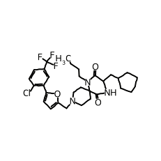 CCCCN1C(=O)C(CC2CCCCC2)NC(=O)C12CCN(Cc1ccc(-c3cc(C(F)(F)F)ccc3Cl)o1)CC2